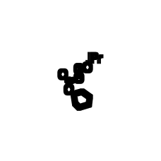 CC(C)OOOC(=O)OC1CCCCC1